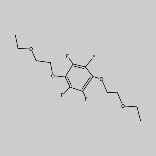 CCOCCOc1c(F)c(F)c(OCCOCC)c(F)c1F